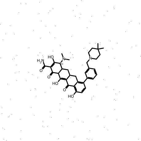 CN(C)[C@@H]1C(O)=C(C(N)=O)C(=O)C2C(O)=C3C(=O)c4c(O)ccc(-c5cccc(CN6CCC(C)(C)CC6)c5)c4CC3CC21